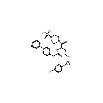 CS(=O)(=O)N1CCN(C(=O)C(CCN[C@@H]2C[C@H]2c2ccc(F)cc2)NC(=O)Cc2ccc(-c3ccccc3)cc2)CC1